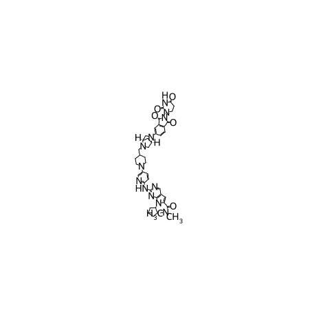 CN(C)C(=O)c1cc2cnc(Nc3ccc(N4CCC(CN5C[C@H]6C[C@@H]5CN6c5ccc6c(c5)C(=O)N(N5CCC(=O)NC5=O)C6=O)CC4)cn3)nc2n1C1CCCC1